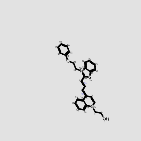 OCCN1C=C/C(=C\C=C\c2sc3ccccc3[n+]2CCOc2ccccc2)c2ccccc21